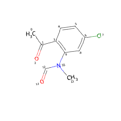 CC(=O)c1ccc(Cl)cc1N(C)C=O